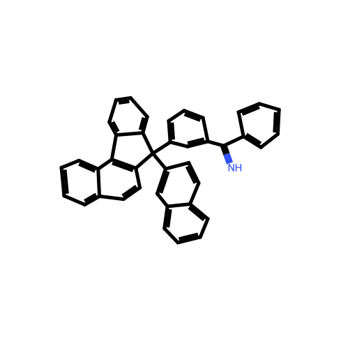 N=C(c1ccccc1)c1cccc(C2(c3ccc4ccccc4c3)c3ccccc3-c3c2ccc2ccccc32)c1